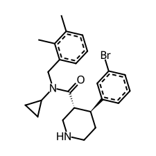 Cc1cccc(CN(C(=O)[C@H]2CNCC[C@@H]2c2cccc(Br)c2)C2CC2)c1C